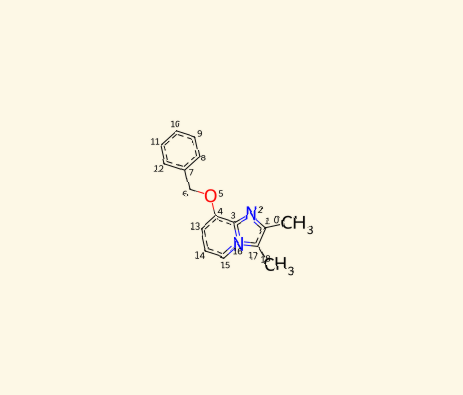 Cc1nc2c(OCc3ccccc3)cccn2c1C